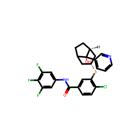 O=C(Nc1cc(F)c(F)c(F)c1)c1ccc(Cl)c(S[C@@H]2CC3CC[C@@H](C2)[C@@]3(O)c2cccnc2)c1